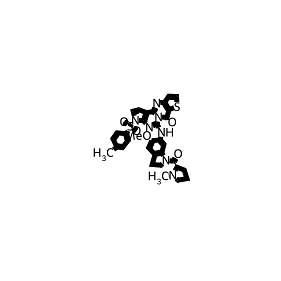 COc1cc2c(cc1Nc1nc3c(ccn3S(=O)(=O)c3ccc(C)cc3)c3nc4ccsc4c(=O)n13)N(C(=O)[C@@H]1CCCN1C)CC2